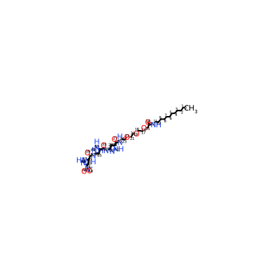 CCCCCCCCCCCCNC(=O)COCCOCCOCCNC(=O)c1cc(NC(=O)c2cc(NC(=O)c3cc([N+](=O)[O-])n[nH]3)n[nH]2)n[nH]1